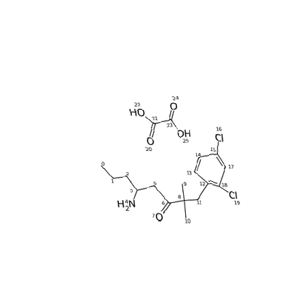 CCCC(N)CC(=O)C(C)(C)Cc1ccc(Cl)cc1Cl.O=C(O)C(=O)O